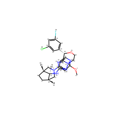 COc1cc(N2C[C@H]3CC[C@@H](C2)[C@@H]3Nc2nc3n(n2)CCO[C@H]3c2cc(F)cc(Cl)c2)ccn1